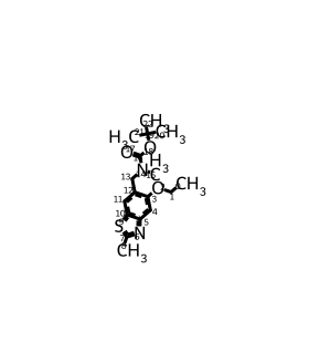 CCOc1cc2nc(C)sc2cc1CN(C)C(=O)OC(C)(C)C